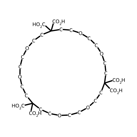 O=C(O)C1(C(=O)O)CCOCCOCCC(C(=O)O)(C(=O)O)CCOCCOCCC(C(=O)O)(C(=O)O)CCOCCOCC1